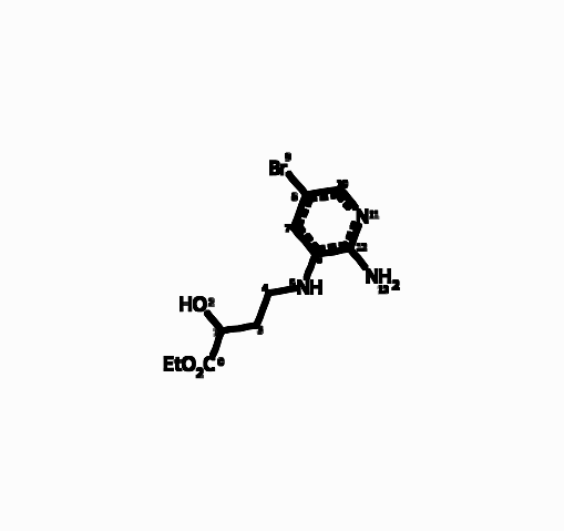 CCOC(=O)C(O)CCNc1cc(Br)cnc1N